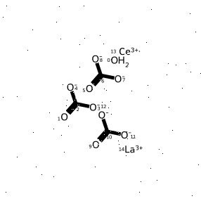 O.O=C([O-])[O-].O=C([O-])[O-].O=C([O-])[O-].[Ce+3].[La+3]